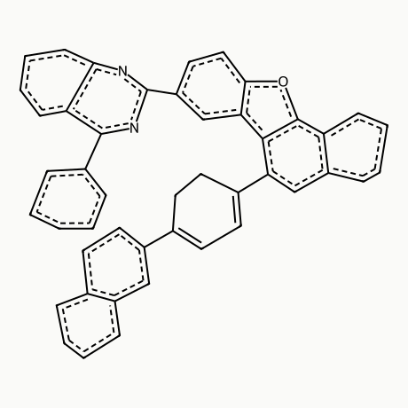 C1=C(c2ccc3ccccc3c2)CCC(c2cc3ccccc3c3oc4ccc(-c5nc(-c6ccccc6)c6ccccc6n5)cc4c23)=C1